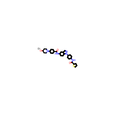 CCOC1CCN(c2ccc(C(=O)Nc3ccc4c(cnn4-c4ccc(NC(=O)c5cccs5)cc4)c3)cc2)CC1